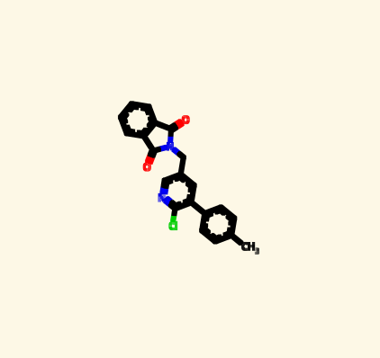 Cc1ccc(-c2cc(CN3C(=O)c4ccccc4C3=O)cnc2Cl)cc1